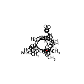 CC[C@H]1OC(=O)[C@H](C)[C@@H](O[C@H]2C[C@@](C)(OC)[C@@H](O)[C@H](C)O2)[C@H](C)[C@@H](O[C@@H]2O[C@H](C)C[C@H](N(C)CCC3=CN(C[C@H]4CC(c5ccc6c(c5)OCO6)=NO4)NN3)[C@H]2O)[C@](C)(O)C[C@@H](C)CN(C)[C@H](C)[C@@H](O)[C@]1(C)O